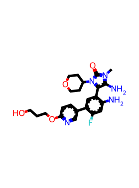 Cn1c(N)c(-c2cc(-c3ccc(OCCCO)nc3)c(F)cc2N)n(C2CCOCC2)c1=O